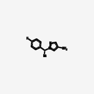 Bc1cnn(C(CC)c2ccc(F)cc2)c1